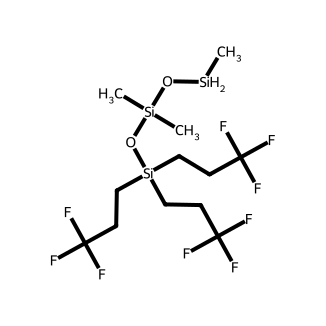 C[SiH2]O[Si](C)(C)O[Si](CCC(F)(F)F)(CCC(F)(F)F)CCC(F)(F)F